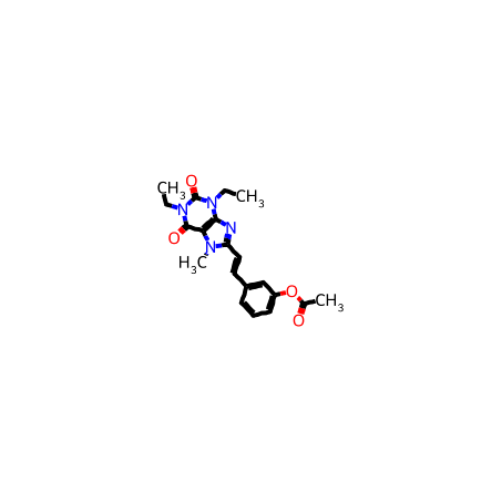 CCn1c(=O)c2c(nc(/C=C/c3cccc(OC(C)=O)c3)n2C)n(CC)c1=O